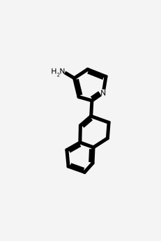 Nc1ccnc(C2=Cc3ccccc3CC2)c1